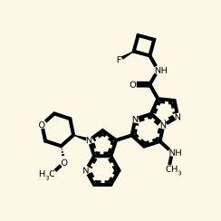 CNc1cc(-c2cn([C@@H]3CCOC[C@H]3OC)c3ncccc23)nc2c(C(=O)NC3CC[C@@H]3F)cnn12